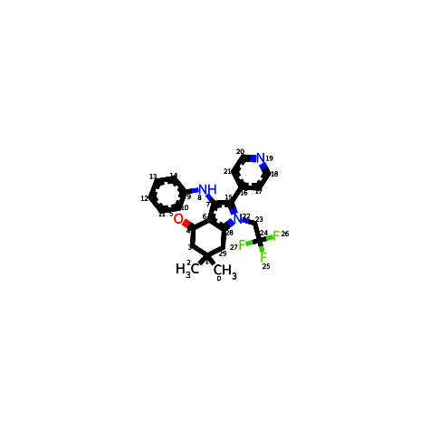 CC1(C)CC(=O)c2c(Nc3ccccc3)c(-c3ccncc3)n(CC(F)(F)F)c2C1